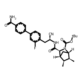 C[C@@H]1[C@H](C)[C@@H]2C[C@H]1[C@@H](C(=O)N[C@H](C#N)Cc1ccc(-c3ccc(C(N)=O)cc3)cc1F)N2C(=O)OC(C)(C)C